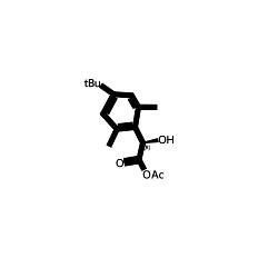 CC(=O)OC(=O)[C@H](O)c1c(C)cc(C(C)(C)C)cc1C